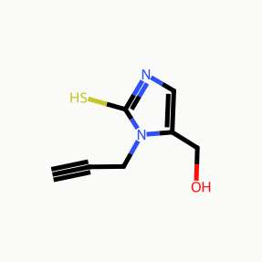 C#CCn1c(CO)cnc1S